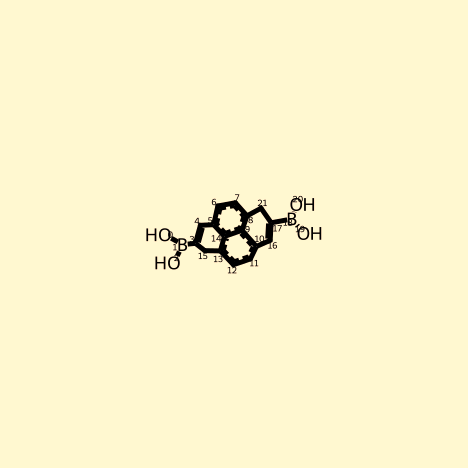 OB(O)C1=Cc2ccc3c4c(ccc(c24)C1)C=C(B(O)O)C3